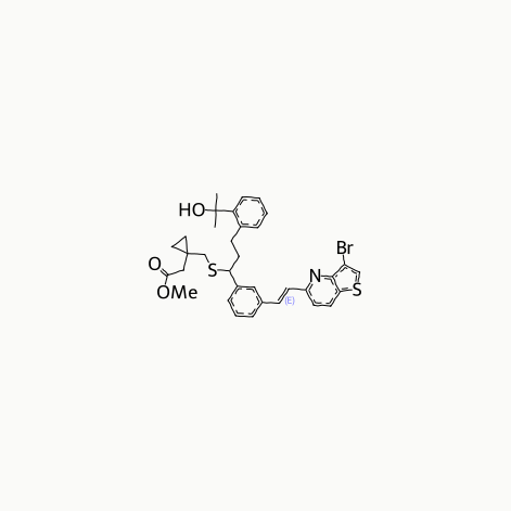 COC(=O)CC1(CSC(CCc2ccccc2C(C)(C)O)c2cccc(/C=C/c3ccc4scc(Br)c4n3)c2)CC1